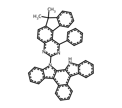 CC1(C)c2ccccc2-c2c1ccc1nc(-n3c4ccccc4c4c5ccccc5c5c6ccccc6[nH]c5c43)nc(-c3ccccc3)c21